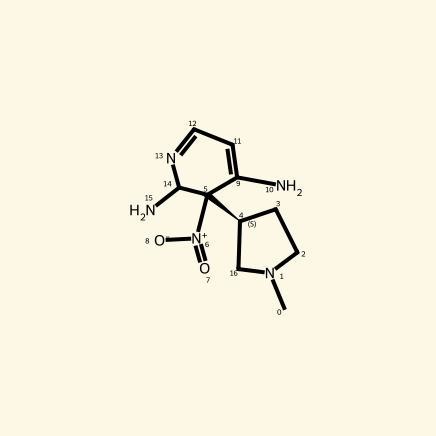 CN1CC[C@H](C2([N+](=O)[O-])C(N)=CC=NC2N)C1